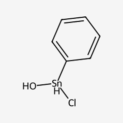 [OH][SnH]([Cl])[c]1ccccc1